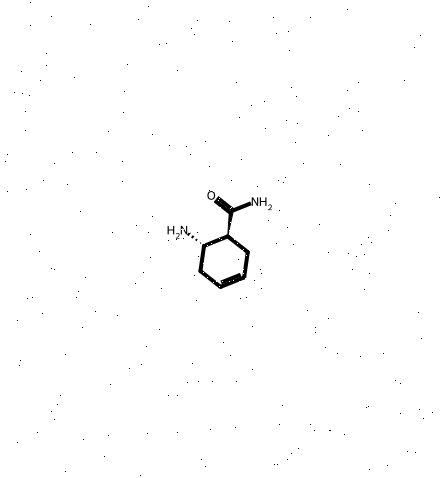 NC(=O)[C@H]1CC=CC[C@@H]1N